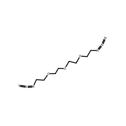 [N-]=[N+]=NCCOCCOCCOCCN=C=S